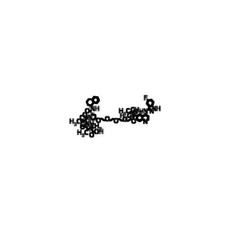 CC(C(=O)NC(C(=O)N1C[C@@H](OCCOCCOCCOCCOc2cc3nccc(Nc4n[nH]c5ccc(F)cc45)c3cc2S(=O)(=O)C(C)(C)C)C[C@H]1C(=O)N[C@@H]1CCCc2ccccc21)C(C)(C)C)N(C)C(=O)O